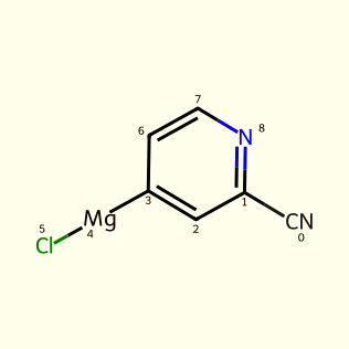 N#Cc1c[c]([Mg][Cl])ccn1